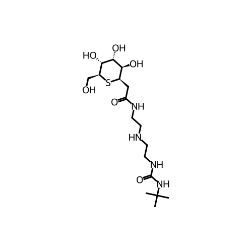 CC(C)(C)NC(=O)NCCNCCNC(=O)C[C@H]1S[C@@H](CO)[C@H](O)[C@H](O)[C@H]1O